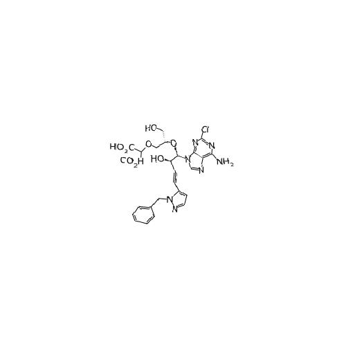 Nc1nc(Cl)nc2c1ncn2[C@H](O[C@@H](CO)COC(C(=O)O)C(=O)O)[C@H](O)C#Cc1ccnn1Cc1ccccc1